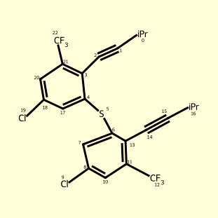 CC(C)C#Cc1c(Sc2cc(Cl)cc(C(F)(F)F)c2C#CC(C)C)cc(Cl)cc1C(F)(F)F